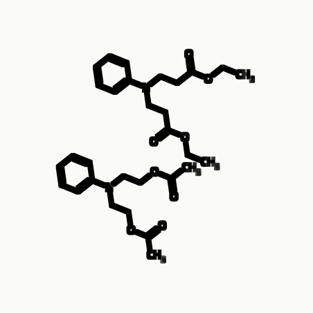 CC(=O)OCCN(CCOC(C)=O)c1ccccc1.CCOC(=O)CCN(CCC(=O)OCC)c1ccccc1